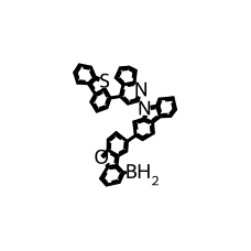 Bc1cccc2oc3ccc(-c4ccc5c6ccccc6n(-c6cc(-c7cccc8c7sc7ccccc78)c7ccccc7n6)c5c4)cc3c12